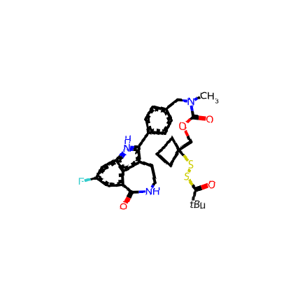 CN(Cc1ccc(-c2[nH]c3cc(F)cc4c3c2CCNC4=O)cc1)C(=O)OCC1(SSC(=O)C(C)(C)C)CCC1